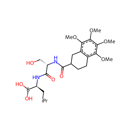 COc1c2c(c(OC)c(OC)c1OC)CC(C(=O)N[C@@H](CO)C(=O)N[C@@H](CC(C)C)B(O)O)CC2